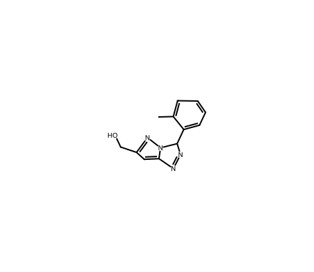 Cc1ccccc1C1N=Nc2cc(CO)nn21